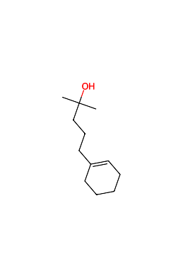 CC(C)(O)CCCC1=CCCCC1